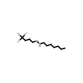 CCCCCCCNSCCCC(F)(F)F